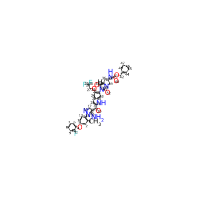 Cc1cc(Oc2ccccc2F)ccc1-n1ncc(C(=O)c2cc3cc(OCC(F)F)c(N4C(=O)[C@@H]5C[C@H](NC(=O)OCc6ccccc6)CN5C4=O)cc3[nH]2)c1N